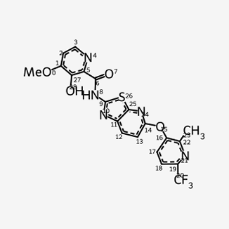 COc1ccnc(C(=O)Nc2nc3ccc(Oc4ccc(C(F)(F)F)nc4C)nc3s2)c1O